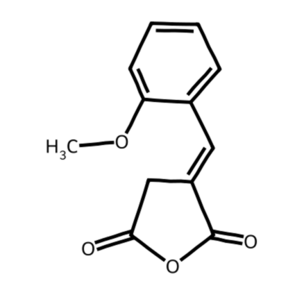 COc1ccccc1C=C1CC(=O)OC1=O